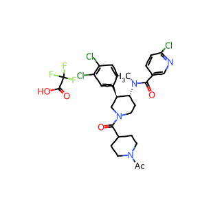 CC(=O)N1CCC(C(=O)N2CC[C@@H](N(C)C(=O)c3ccc(Cl)nc3)[C@H](c3ccc(Cl)c(Cl)c3)C2)CC1.O=C(O)C(F)(F)F